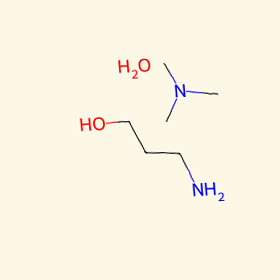 CN(C)C.NCCCO.O